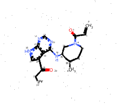 C=CC(=O)N1CC[C@@H](C)[C@@H](Nc2ncnc3[nH]cc(C(=O)CC(C)C)c23)C1